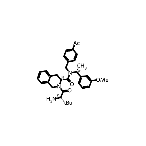 COc1cccc([C@@H](C)N(Cc2ccc(C(C)=O)cc2)C(=O)[C@@H]2Cc3ccccc3CN2C(=O)[C@@H](N)C(C)(C)C)c1